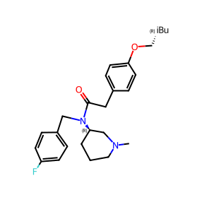 CC[C@@H](C)COc1ccc(CC(=O)N(Cc2ccc(F)cc2)[C@@H]2CCCN(C)C2)cc1